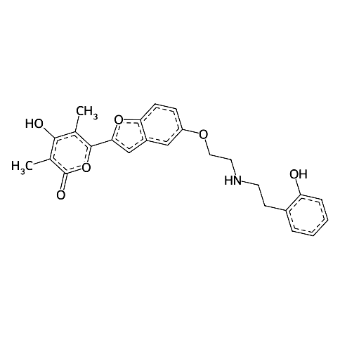 Cc1c(-c2cc3cc(OCCNCCc4ccccc4O)ccc3o2)oc(=O)c(C)c1O